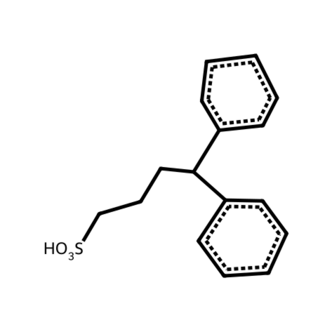 O=S(=O)(O)CCCC(c1ccccc1)c1ccccc1